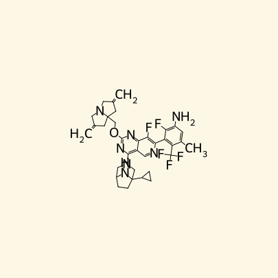 C=C1CN2CC(=C)CC2(COc2nc(N3CC4CCC(C5CC5)(C3)N4)c3cnc(-c4c(F)c(N)cc(C)c4C(F)(F)F)c(F)c3n2)C1